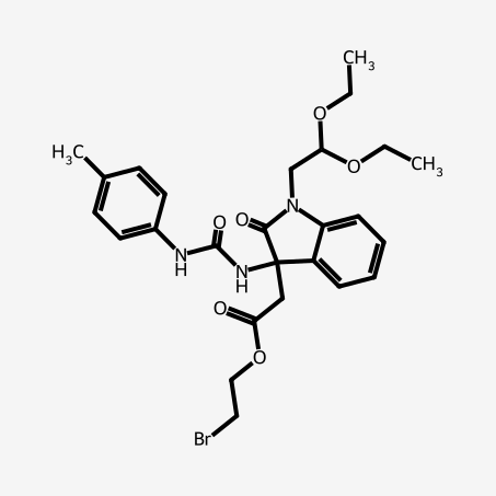 CCOC(CN1C(=O)C(CC(=O)OCCBr)(NC(=O)Nc2ccc(C)cc2)c2ccccc21)OCC